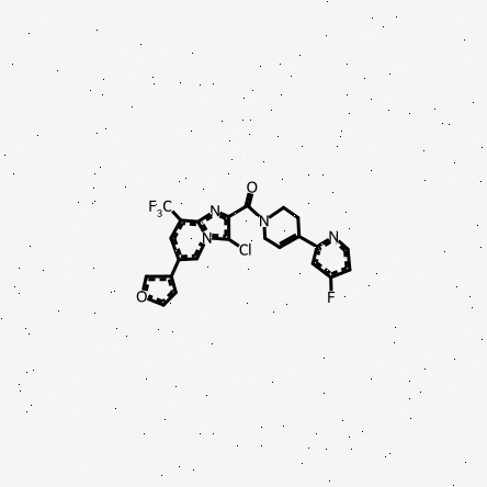 O=C(c1nc2c(C(F)(F)F)cc(-c3ccoc3)cn2c1Cl)N1CC=C(c2cc(F)ccn2)CC1